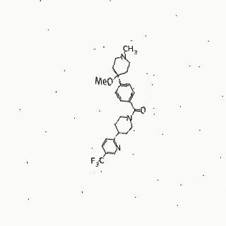 COC1(c2ccc(C(=O)N3CCC(c4ccc(C(F)(F)F)cn4)CC3)cc2)CCN(C)CC1